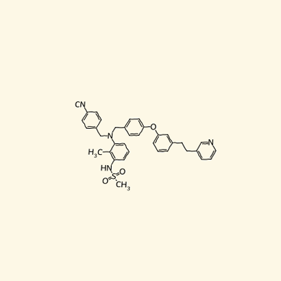 [C-]#[N+]c1ccc(CN(Cc2ccc(Oc3cccc(CCc4cccnc4)c3)cc2)c2cccc(NS(C)(=O)=O)c2C)cc1